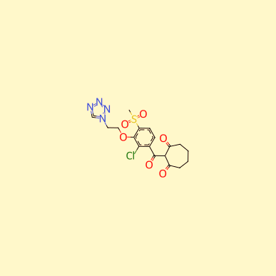 CS(=O)(=O)c1ccc(C(=O)C2C(=O)CCCCC2=O)c(Cl)c1OCCn1cnnn1